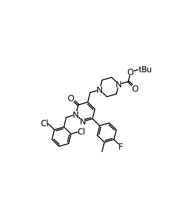 Cc1cc(-c2cc(CN3CCN(C(=O)OC(C)(C)C)CC3)c(=O)n(Cc3c(Cl)cccc3Cl)n2)ccc1F